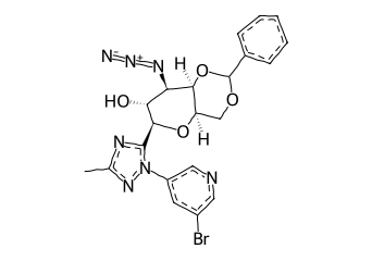 Cc1nc([C@@H]2O[C@@H]3COC(c4ccccc4)O[C@@H]3[C@H](N=[N+]=[N-])[C@H]2O)n(-c2cncc(Br)c2)n1